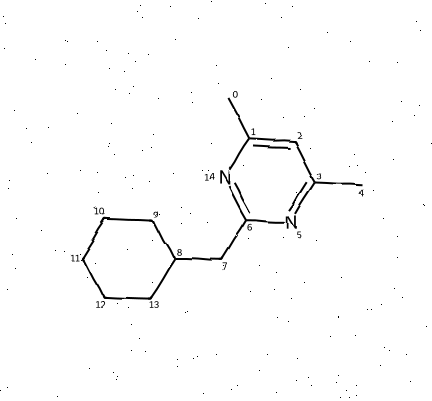 Cc1cc(C)nc(CC2CCCCC2)n1